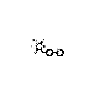 CC(C)(C)OC(=O)NC(Cc1ccc(-c2ccccn2)cc1)C(N)=O